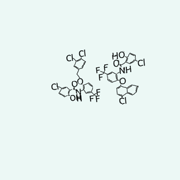 O=C(Nc1cc(C(F)(F)F)ccc1OCCc1ccc(Cl)c(Cl)c1)c1cc(Cl)ccc1O.O=C(Nc1cc(C(F)(F)F)ccc1Oc1ccc(Cl)c2ccccc12)c1cc(Cl)ccc1O